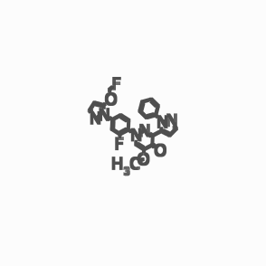 COc1cn(-c2ccc(-n3nccc3OCF)cc2F)nc(-c2ccnn2-c2ccccc2)c1=O